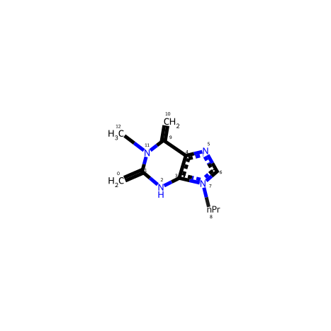 C=C1Nc2c(ncn2CCC)C(=C)N1C